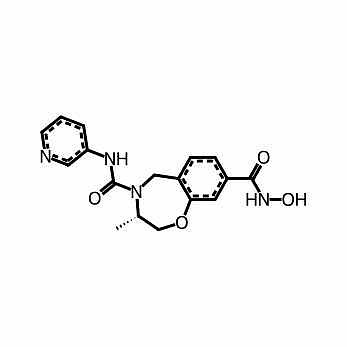 C[C@H]1COc2cc(C(=O)NO)ccc2CN1C(=O)Nc1cccnc1